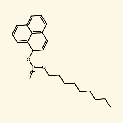 CCCCCCCCCO[PH](=O)OC1C=Cc2cccc3cccc1c23